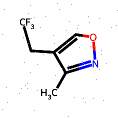 Cc1nocc1CC(F)(F)F